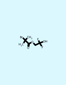 CC(C)(Br)C(=O)OCC(O)(F)F